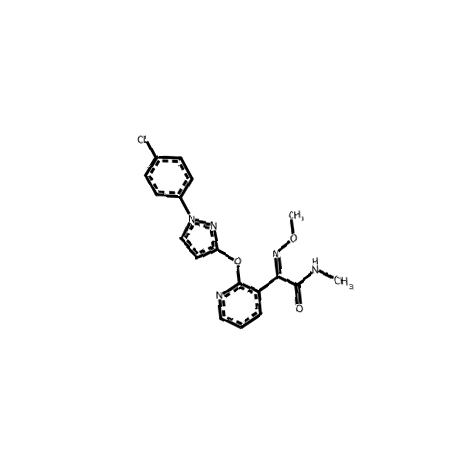 CNC(=O)C(=NOC)c1cccnc1Oc1ccn(-c2ccc(Cl)cc2)n1